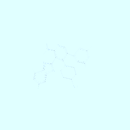 Cc1cc(F)cc(-c2cnc(N(C)C)c(-c3nc4cc(F)cc(F)c4[nH]3)c2N2CCC(N)CC2)c1